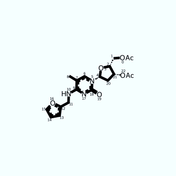 CC(=O)OC[C@H]1O[C@@H](n2cc(C)c(NCc3ccco3)nc2=O)C[C@H]1OC(C)=O